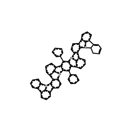 C1=CCC2C(=C1)c1cccc3c4ccc5c(c6cccc7c8c(-c9ccccc9)c9c(c(-c%10ccccc%10)c8n5c76)c5cccc6c7c(ccc8c%10cccc%11c%12ccccc%12n(c%11%10)c87)n9c56)c4n2c13